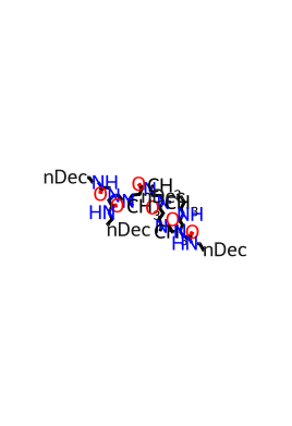 CCCCCCCCCCCCNC(=O)CN(CCN(C)CCC(=O)N(C)CCN(C)C(=O)CCN(C)CCN(CC(=O)NCCCCCCCCCCCC)CC(=O)NCCCCCCCCCCCC)CC(=O)NCCCCCCCCCCCC